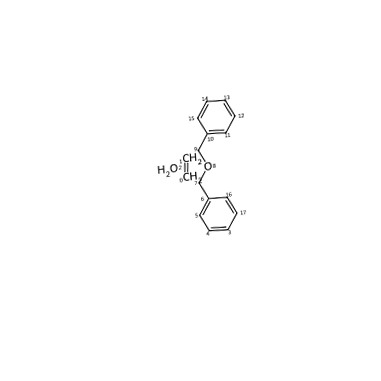 C=C.O.c1ccc(COCc2ccccc2)cc1